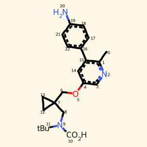 Cc1ncc(OCC2(CN(C(=O)O)C(C)(C)C)CC2)cc1-c1ccc(N)cc1